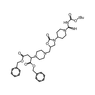 CC(C)(C)OC(=O)NC(=N)N1CCC(N2CC(CN3CCN(C(CC(=O)OCc4ccccc4)C(=O)OCc4ccccc4)CC3)OC2=O)CC1